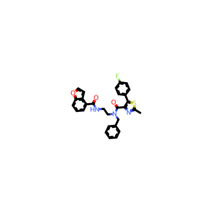 Cc1nc(C(=O)N(CCNC(=O)c2cccc3occc23)Cc2ccccc2)c(-c2ccc(F)cc2)s1